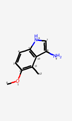 COc1ccc2[nH]cc(N)c2c1C